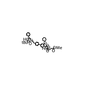 COC(=O)CCS(=O)(=O)NC(=O)c1ccc(-c2ccc(CCN(C[C@H](O)c3ccccc3)C(=O)OC(C)(C)C)cc2)cc1OC1CCCCC1